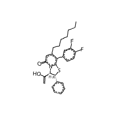 C=C(O)[C@@H]1[C@@H](c2ccccc2)Sc2c(-c3ccc(F)c(F)c3)c(CCCCCCC)cc(=O)n21